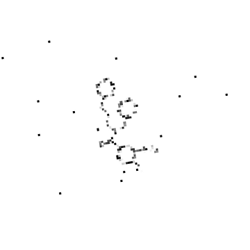 O=C(c1ccc(Cl)c([N+](=O)[O-])c1)N(CCCc1ccccc1)Cc1ccccc1